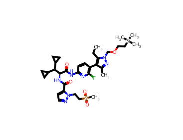 CCc1c(-c2ccc(NC(=O)[C@@H](NC(=O)c3ccnn3CCS(C)(=O)=O)C(C3CC3)C3CC3)nc2F)c(C)nn1COCC[Si](C)(C)C